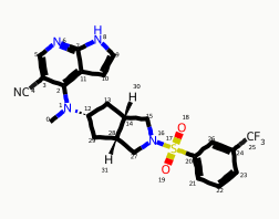 CN(c1c(C#N)cnc2[nH]ccc12)[C@@H]1C[C@@H]2CN(S(=O)(=O)c3cccc(C(F)(F)F)c3)C[C@@H]2C1